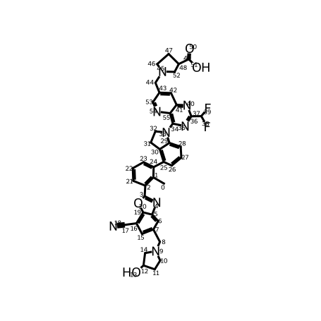 Cc1c(-c2nc3cc(CN4CCC(O)C4)cc(C#N)c3o2)cccc1-c1cccc2c1CCN2c1nc(C(F)F)nc2cc(CN3CCC(C(=O)O)C3)cnc12